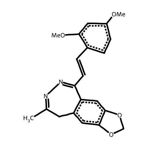 COc1ccc(C=CC2=NN=C(C)Cc3cc4c(cc32)OCO4)c(OC)c1